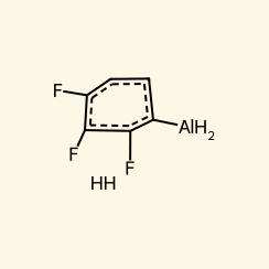 Fc1cc[c]([AlH2])c(F)c1F.[HH]